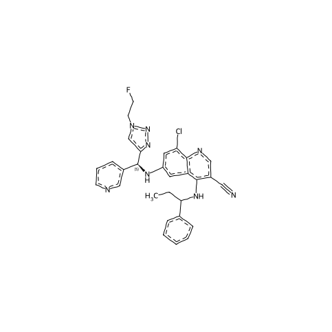 CCC(Nc1c(C#N)cnc2c(Cl)cc(N[C@@H](c3cccnc3)c3cn(CCF)nn3)cc12)c1ccccc1